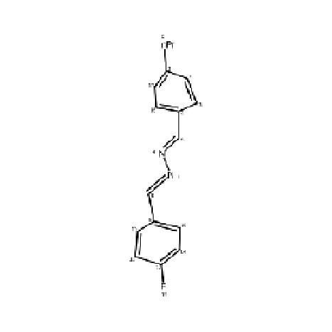 CCCc1ccc(/C=N/N=C/c2ccc(F)cc2)cc1